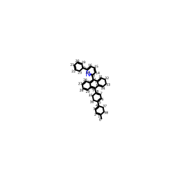 CC1=CC=C(C2=CC=C(c3c4c(c(-c5cccc(C6C=CC=CC6)n5)c5ccccc35)=CCCC=4)CC2)CC1